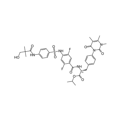 Cc1c(C)n(C)c(=O)n(-c2ccc(C[C@H](NC(=O)c3cc(F)c(NS(=O)(=O)c4ccc(NC(=O)C(C)(C)CO)cc4)cc3F)C(=O)OC(C)C)cc2)c1=O